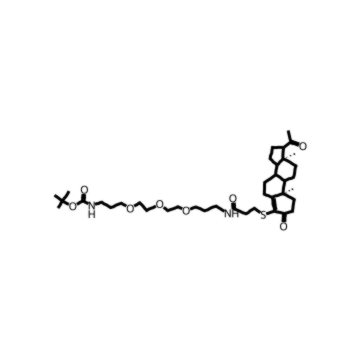 CC(=O)C1CCC2C3CCC4=C(SCCC(=O)NCCCOCCOCCOCCCNC(=O)OC(C)(C)C)C(=O)CC[C@]4(C)C3CC[C@]12C